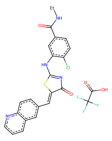 CCNC(=O)c1ccc(Cl)c(NC2=NC(=O)/C(=C/c3ccc4ncccc4c3)S2)c1.O=C(O)C(F)(F)F